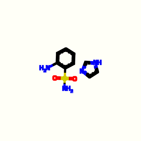 Nc1ccccc1S(N)(=O)=O.c1c[nH]cn1